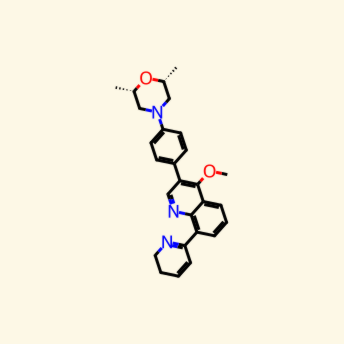 COc1c(-c2ccc(N3C[C@@H](C)O[C@@H](C)C3)cc2)cnc2c(C3=NCCC=C3)cccc12